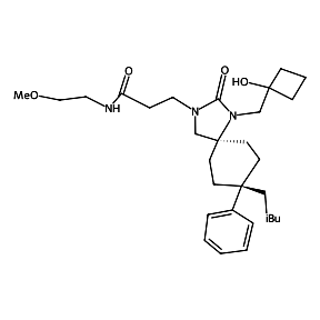 CCC(C)C[C@]1(c2ccccc2)CC[C@]2(CC1)CN(CCC(=O)NCCOC)C(=O)N2CC1(O)CCC1